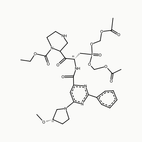 CCOC(=O)N1CCNCC1C(=O)[C@H](CP(=O)(OCOC(C)=O)OCOC(C)=O)NC(=O)c1cc(N2CC[C@H](OC)C2)nc(-c2ccccc2)n1